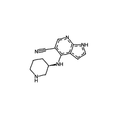 N#Cc1cnc2[nH]ccc2c1N[C@@H]1CCCNC1